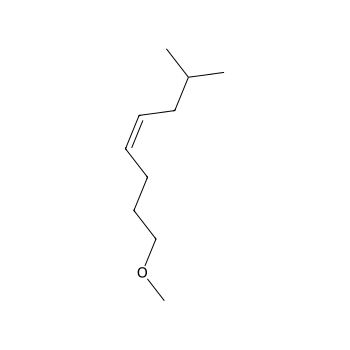 COCCC/C=C\CC(C)C